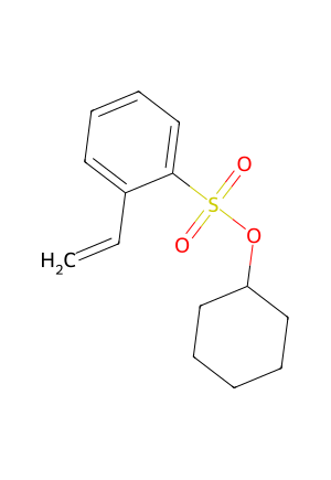 C=Cc1ccccc1S(=O)(=O)OC1CCCCC1